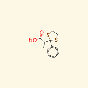 CC(C(=O)O)C1(c2ccccc2)SCCS1